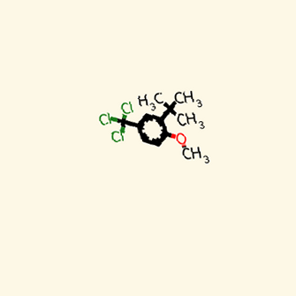 COc1ccc(C(Cl)(Cl)Cl)cc1C(C)(C)C